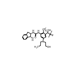 CCCN(CCO)c1cc(NC(=O)N[C@@H]2Cc3ccccc3[C@@H]2O)c(OC)c([C@@H](O)C(F)(F)F)c1